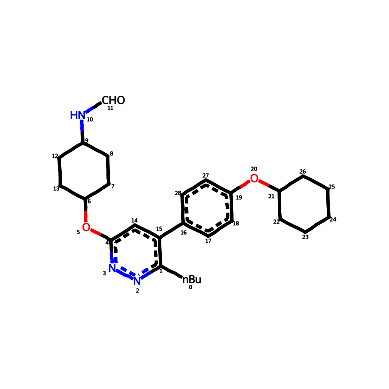 CCCCc1nnc(OC2CCC(NC=O)CC2)cc1-c1ccc(OC2CCCCC2)cc1